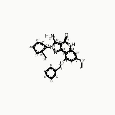 COc1cc(OCc2ccccc2)c2c(c1)[nH]c(=O)c1c(N)n(-c3ccccc3C)nc12